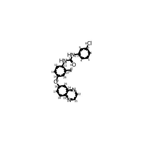 O=C(Nc1cccc(Cl)c1)Nc1ccc(Oc2ccc3nccnc3c2)cc1F